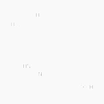 CC1(C)CCc2c(CCC(=O)O)n[nH]c2C1